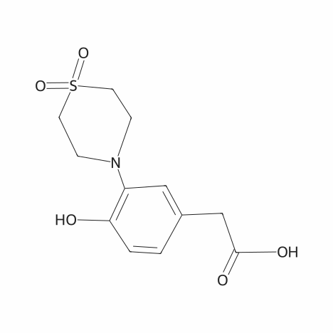 O=C(O)Cc1ccc(O)c(N2CCS(=O)(=O)CC2)c1